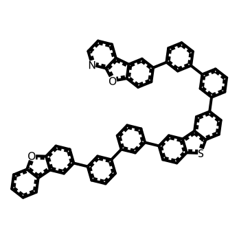 c1cc(-c2cccc(-c3ccc4sc5ccc(-c6cccc(-c7cccc(-c8ccc9oc%10ncccc%10c9c8)c7)c6)cc5c4c3)c2)cc(-c2ccc3oc4ccccc4c3c2)c1